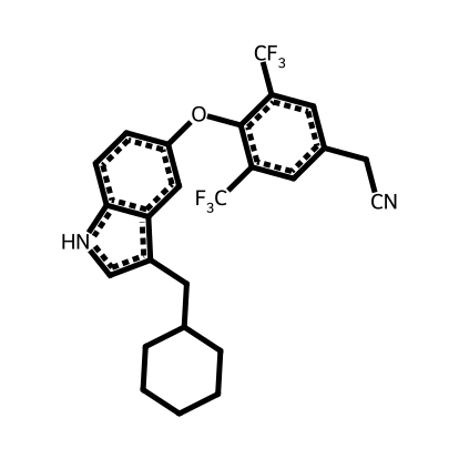 N#CCc1cc(C(F)(F)F)c(Oc2ccc3[nH]cc(CC4CCCCC4)c3c2)c(C(F)(F)F)c1